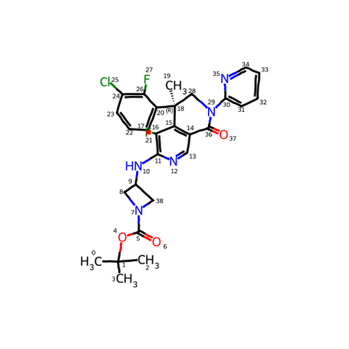 CC(C)(C)OC(=O)N1CC(Nc2ncc3c(c2F)[C@@](C)(c2cccc(Cl)c2F)CN(c2ccccn2)C3=O)C1